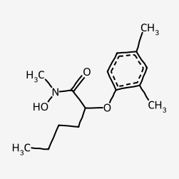 CCCCC(Oc1ccc(C)cc1C)C(=O)N(C)O